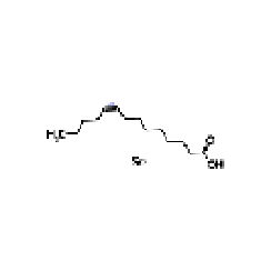 CCCC/C=C\CCCCCCCC(=O)O.[Sc]